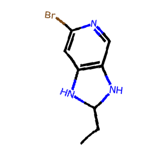 CCC1Nc2cnc(Br)cc2N1